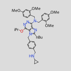 CCCCc1nc2c(N(Cc3ccc(OC)cc3OC)Cc3ccc(OC)cc3OC)nnc(OC(C)C)c2n1Cc1ccc(CNC2CC2)cc1